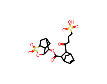 O=C(CCCS(=O)(=O)O)C1C2C=CC(C2)C1C(=O)OC1C2CC3C1OS(=O)(=O)C3C2